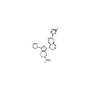 CC(=O)N1CCc2c(c(-c3cccc4cc(-c5cnn(C)c5)ncc34)nn2C2CCOC2)C1